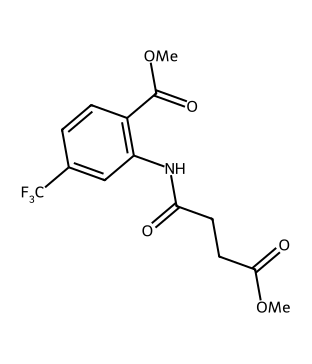 COC(=O)CCC(=O)Nc1cc(C(F)(F)F)ccc1C(=O)OC